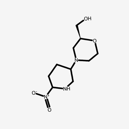 O=[N+]([O-])C1CCC(N2CCO[C@H](CO)C2)CN1